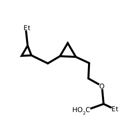 CCC(OCCC1CC1CC1CC1CC)C(=O)O